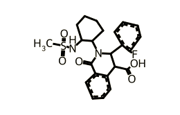 CS(=O)(=O)NC1CCCCC1N1C(=O)c2ccccc2C(C(=O)O)C1c1ccccc1F